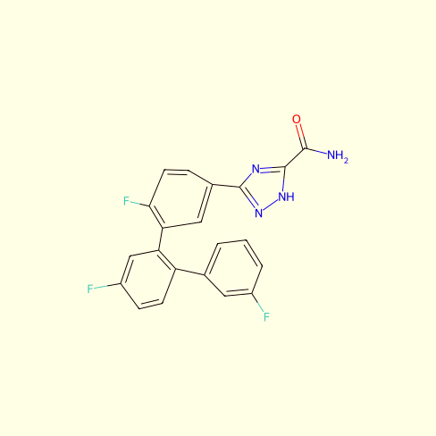 NC(=O)c1nc(-c2ccc(F)c(-c3cc(F)ccc3-c3cccc(F)c3)c2)n[nH]1